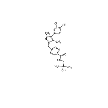 Cc1nn(Cc2ccc(C(=O)NCC(C)(C)O)nc2)c(C)c1-c1ccc(C#N)c(Cl)c1